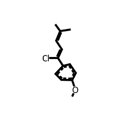 COc1ccc(C(Cl)=CC=C(C)C)cc1